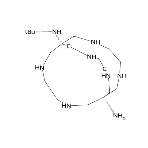 CC(C)(C)N[C@]12CNCCNC[C@](N)(CNCCNC1)CNCCNC2